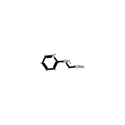 COC[SiH2]c1ccccn1